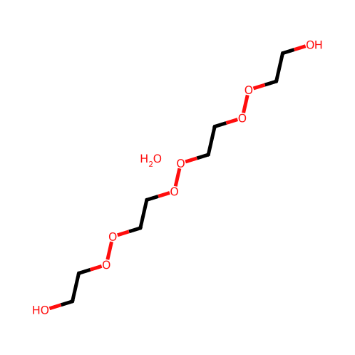 O.OCCOOCCOOCCOOCCO